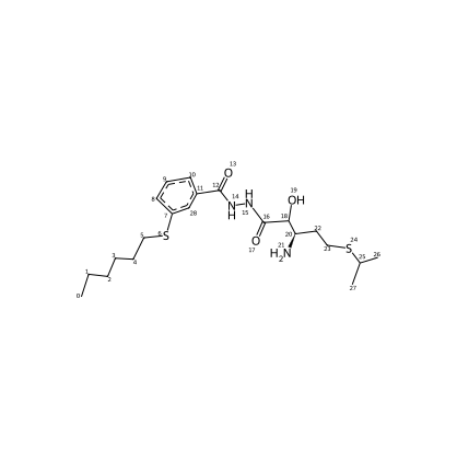 CCCCCCSc1cccc(C(=O)NNC(=O)C(O)[C@H](N)CCSC(C)C)c1